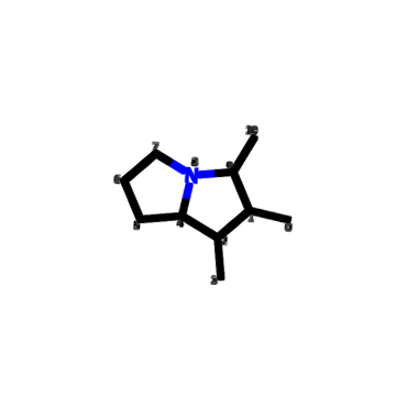 CC1C(C)C2CCCN2C1C